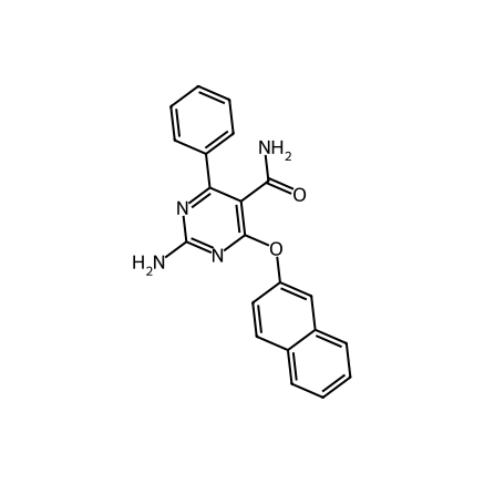 NC(=O)c1c(Oc2ccc3ccccc3c2)nc(N)nc1-c1ccccc1